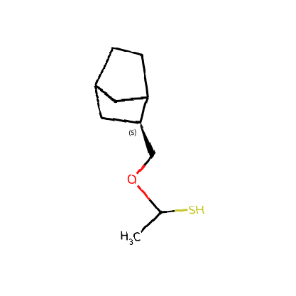 CC(S)OC[C@H]1CC2CCC1C2